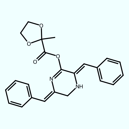 CC1(C(=O)OC2=NC(=Cc3ccccc3)CNC2=Cc2ccccc2)OCCO1